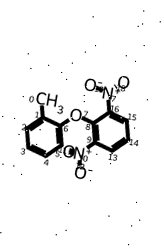 Cc1ccccc1Oc1c([N+](=O)[O-])cccc1[N+](=O)[O-]